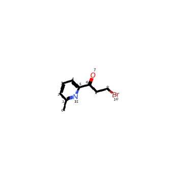 Cc1cccc(C(=O)CCBr)n1